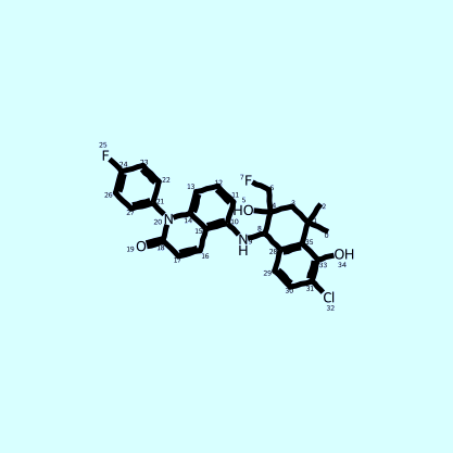 CC1(C)CC(O)(CF)C(Nc2cccc3c2ccc(=O)n3-c2ccc(F)cc2)c2ccc(Cl)c(O)c21